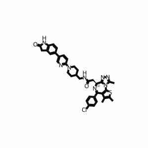 Cc1sc2c(c1C)C(c1ccc(Cl)cc1)=N[C@@H](CC(=O)NCC1CCN(c3ccc(-c4ccc5c(c4)CC(=O)N5)cn3)CC1)c1nnc(C)n1-2